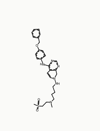 CN(CCCCNN1C=Cc2c(ncnc2Nc2ccc(OCc3ccccc3)cc2)C1)CCS(C)(=O)=O